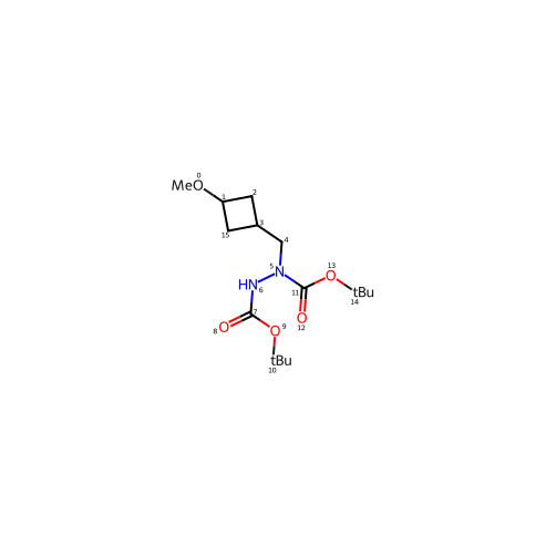 COC1CC(CN(NC(=O)OC(C)(C)C)C(=O)OC(C)(C)C)C1